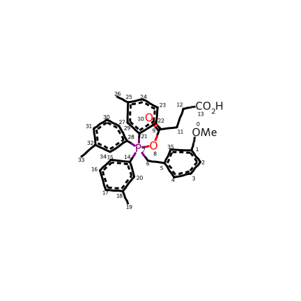 COc1cccc(CP(OC(=O)CCC(=O)O)(c2cccc(C)c2)(c2cccc(C)c2)c2cccc(C)c2)c1